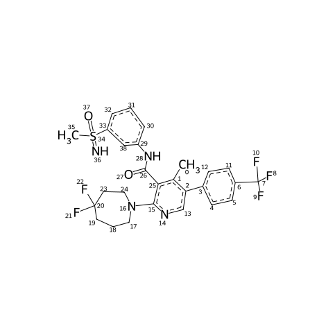 Cc1c(-c2ccc(C(F)(F)F)cc2)cnc(N2CCCC(F)(F)CC2)c1C(=O)Nc1cccc(S(C)(=N)=O)c1